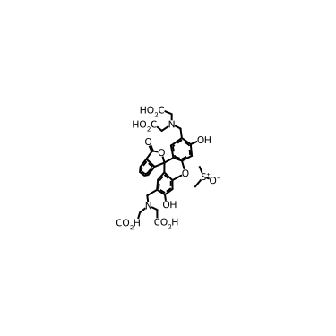 C[S+](C)[O-].O=C(O)CN(CC(=O)O)Cc1cc2c(cc1O)Oc1cc(O)c(CN(CC(=O)O)CC(=O)O)cc1C21OC(=O)c2ccccc21